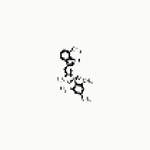 Cc1cc(C)c(S(=O)(=O)NC(Cc2c[nH]c3c(C)cccc23)C(F)(F)F)c(C)c1